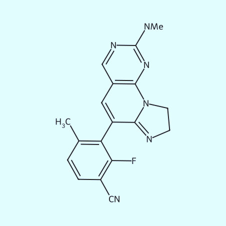 CNc1ncc2c(n1)N1CCN=C1C(c1c(C)ccc(C#N)c1F)=C2